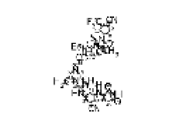 CCc1cc(N2C(=S)N(c3ccc(C#N)c(C(F)(F)F)c3)C(=O)C2(C)C)ccc1OCCN1C[C@@H](C)N(CC(=O)Nc2cc(C#N)cc(NC3CCC(=O)NC3=O)c2)[C@@H](C)C1